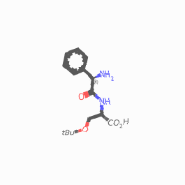 CC(C)(C)OCC(NC(=O)[C@H](N)c1ccccc1)C(=O)O